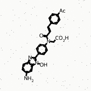 CC(=O)c1ccc(/C=C/C(=O)N(CC(=O)O)c2ccc(-c3nc4ccc(N)cc4n3O)cc2)cc1